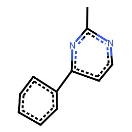 Cc1nccc(-c2ccccc2)n1